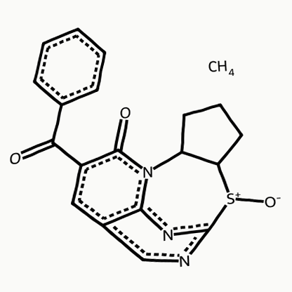 C.O=C(c1ccccc1)c1cc2cnc3nc2n(c1=O)C1CCCC1[S+]3[O-]